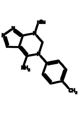 CCCCN1CN(c2ccc(C)cc2)C(N)=C2C=NN=C21